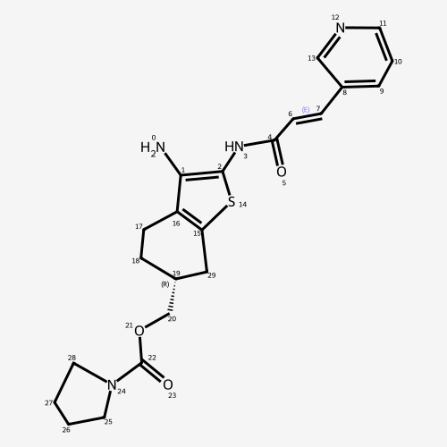 Nc1c(NC(=O)/C=C/c2cccnc2)sc2c1CC[C@@H](COC(=O)N1CCCC1)C2